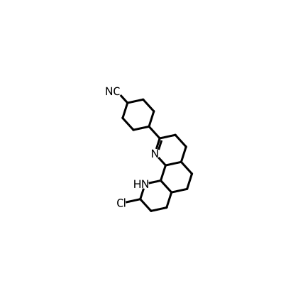 N#CC1CCC(C2=NC3C(CC2)CCC2CCC(Cl)NC23)CC1